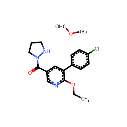 CC(C)(C)OC=O.O=C(c1cnc(OCC(F)(F)F)c(-c2ccc(Cl)cc2)c1)N1CCCN1